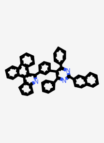 c1ccc(-c2nc(-c3ccc4ccccc4c3)nc(-c3ccccc3)c2-c2cccc(-c3nc4ccccc4c4c5ccccc5c5ccccc5c34)c2)cc1